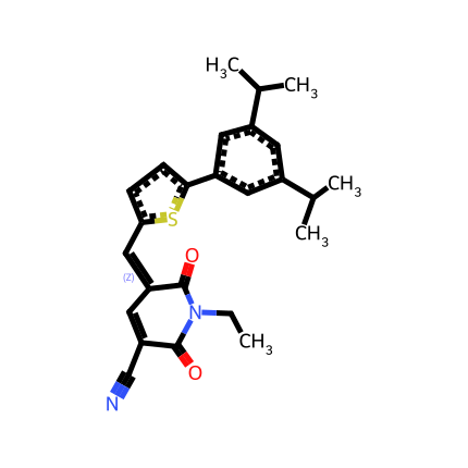 CCN1C(=O)C(C#N)=C/C(=C/c2ccc(-c3cc(C(C)C)cc(C(C)C)c3)s2)C1=O